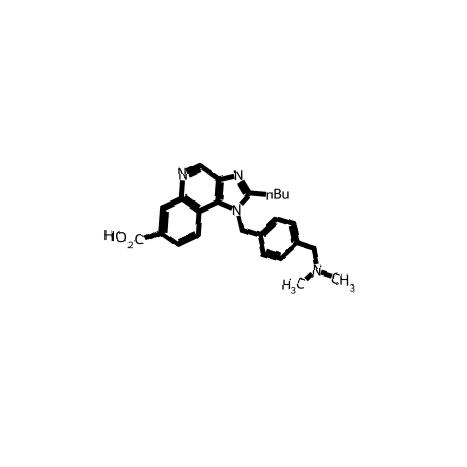 CCCCc1nc2cnc3cc(C(=O)O)ccc3c2n1Cc1ccc(CN(C)C)cc1